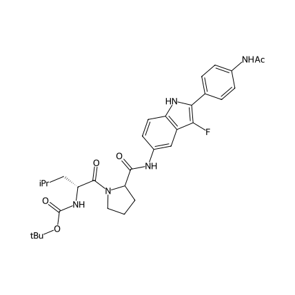 CC(=O)Nc1ccc(-c2[nH]c3ccc(NC(=O)C4CCCN4C(=O)[C@@H](CC(C)C)NC(=O)OC(C)(C)C)cc3c2F)cc1